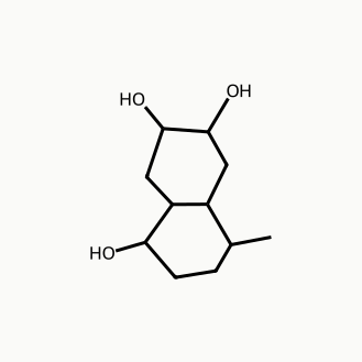 CC1CCC(O)C2CC(O)C(O)CC12